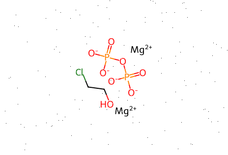 O=P([O-])([O-])OP(=O)([O-])[O-].OCCCl.[Mg+2].[Mg+2]